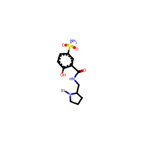 CCN1CCCC1CNC(=O)c1cc(S(N)(=O)=O)ccc1O